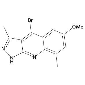 COc1cc(C)c2nc3[nH]nc(C)c3c(Br)c2c1